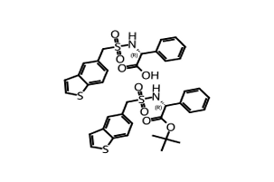 CC(C)(C)OC(=O)[C@H](NS(=O)(=O)Cc1ccc2sccc2c1)c1ccccc1.O=C(O)[C@H](NS(=O)(=O)Cc1ccc2sccc2c1)c1ccccc1